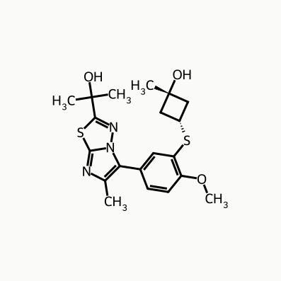 COc1ccc(-c2c(C)nc3sc(C(C)(C)O)nn23)cc1S[C@H]1C[C@@](C)(O)C1